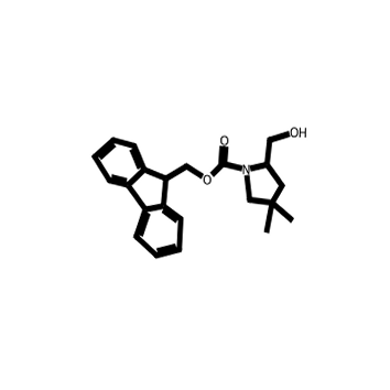 CC1(C)CC(CO)N(C(=O)OCC2c3ccccc3-c3ccccc32)C1